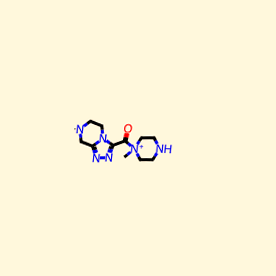 C[N+]1(C(=O)c2nnc3n2CC[N]C3)CCNCC1